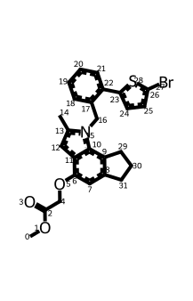 COC(=O)COc1cc2c(c3c1cc(C)n3Cc1ccccc1-c1ccc(Br)s1)CCC2